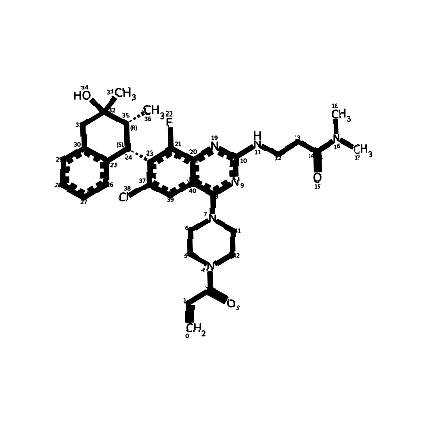 C=CC(=O)N1CCN(c2nc(NCCC(=O)N(C)C)nc3c(F)c([C@@H]4c5ccccc5CC(C)(O)[C@@H]4C)c(Cl)cc23)CC1